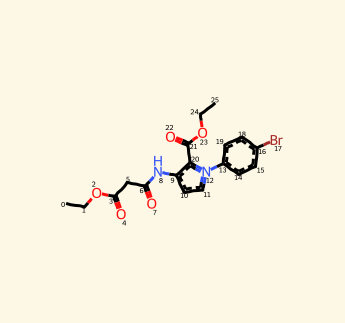 CCOC(=O)CC(=O)Nc1ccn(-c2ccc(Br)cc2)c1C(=O)OCC